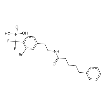 O=C(CCCCc1ccccc1)NCCc1ccc(C(F)(F)P(=O)(O)O)c(Br)c1